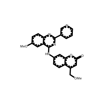 COCc1cc(=O)oc2cc(Nc3nc(-c4cccnc4)nc4ccc(OC)cc34)ccc12